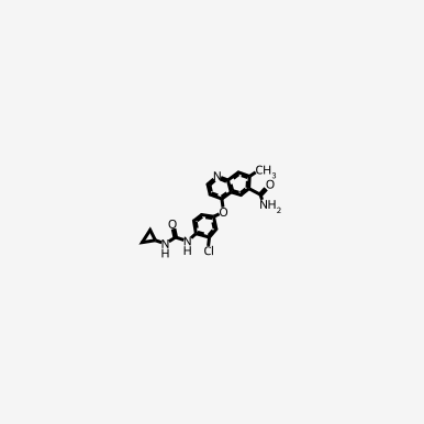 Cc1cc2nccc(Oc3ccc(NC(=O)NC4CC4)c(Cl)c3)c2cc1C(N)=O